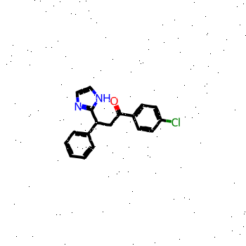 O=C(CC(c1ccccc1)c1ncc[nH]1)c1ccc(Cl)cc1